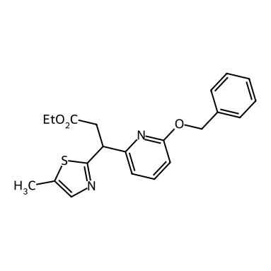 CCOC(=O)CC(c1cccc(OCc2ccccc2)n1)c1ncc(C)s1